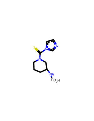 O=C(O)NC1CCCN(C(=S)n2ccnc2)C1